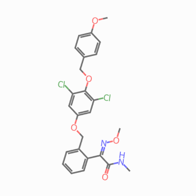 CNC(=O)C(=NOC)c1ccccc1COc1cc(Cl)c(OCc2ccc(OC)cc2)c(Cl)c1